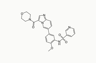 COc1ccc(-c2ccc3ncc(C(=O)N4CCOCC4)n3c2)cc1NS(=O)(=O)c1cccnc1